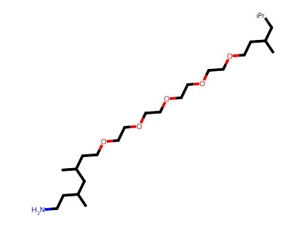 CC(C)CC(C)CCOCCOCCOCCOCCOCCC(C)CC(C)CCN